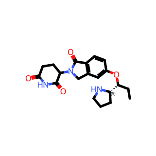 CCC(Oc1ccc2c(c1)CN(C1CCC(=O)NC1=O)C2=O)[C@@H]1CCCN1